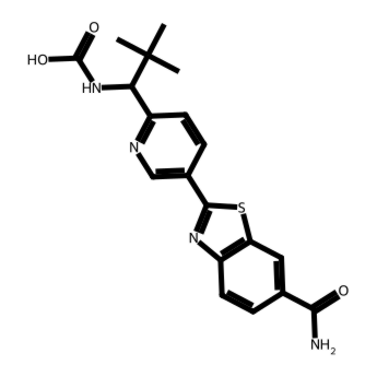 CC(C)(C)C(NC(=O)O)c1ccc(-c2nc3ccc(C(N)=O)cc3s2)cn1